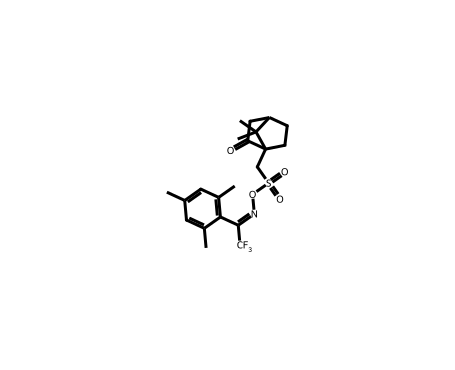 Cc1cc(C)c(C(=NOS(=O)(=O)CC23CCC(CC2=O)C3(C)C)C(F)(F)F)c(C)c1